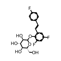 OC[C@H]1OC(Oc2c(F)cc(F)cc2/C=C/c2ccc(F)cc2)[C@H](O)[C@@H](O)[C@@H]1O